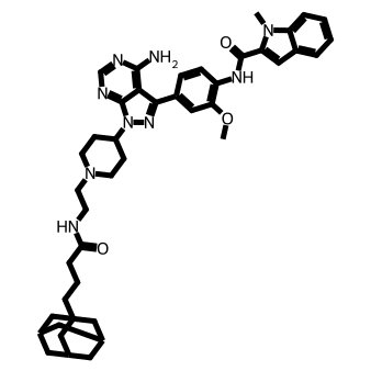 COc1cc(-c2nn(C3CCN(CCNC(=O)CCCC45CC6CC(CC(C6)C4)C5)CC3)c3ncnc(N)c23)ccc1NC(=O)c1cc2ccccc2n1C